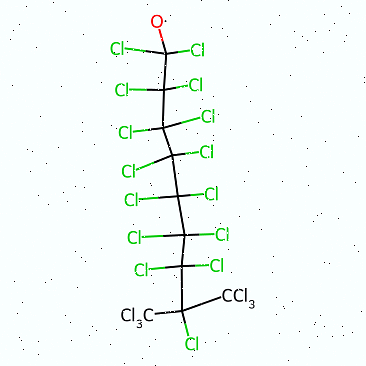 [O]C(Cl)(Cl)C(Cl)(Cl)C(Cl)(Cl)C(Cl)(Cl)C(Cl)(Cl)C(Cl)(Cl)C(Cl)(Cl)C(Cl)(C(Cl)(Cl)Cl)C(Cl)(Cl)Cl